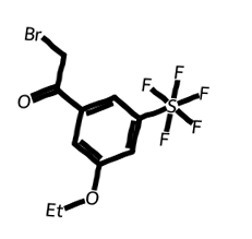 CCOc1cc(C(=O)CBr)cc(S(F)(F)(F)(F)F)c1